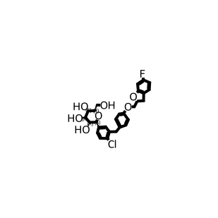 OC[C@H]1O[C@@H](c2ccc(Cl)c(Cc3ccc(OCC4Cc5ccc(F)cc5O4)cc3)c2)[C@H](O)[C@@H](O)[C@@H]1O